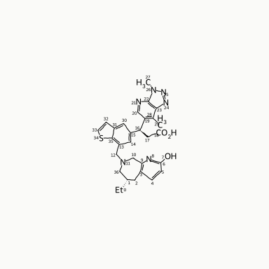 CC[C@H]1Cc2ccc(O)nc2CN(Cc2cc([C@H](CC(=O)O)c3cnc4c(nnn4C)c3C)cc3ccsc23)C1